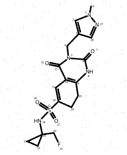 Cn1cc(Cn2c(=O)[nH]c3c(c2=O)C=C(S(=O)(=O)NC2(CF)CC2)CC3)cn1